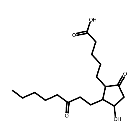 CCCCCC(=O)CCC1C(O)CC(=O)C1CCCCC(=O)O